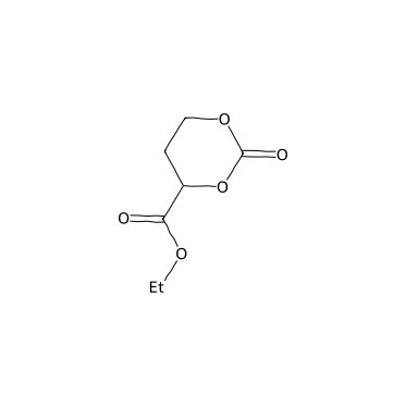 CCOC(=O)C1CCOC(=O)O1